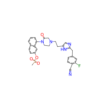 CS(=O)(=O)Oc1ccc2cccc(N3CCN(CCc4cnc(Cc5ccc(C#N)c(F)c5)[nH]4)CC3=O)c2c1